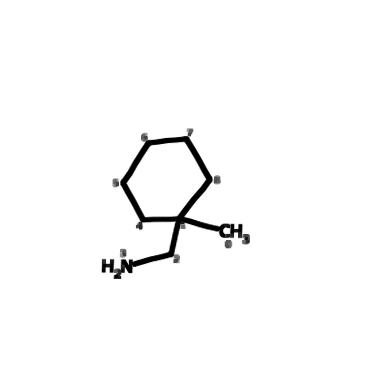 CC1(CN)CCCCC1